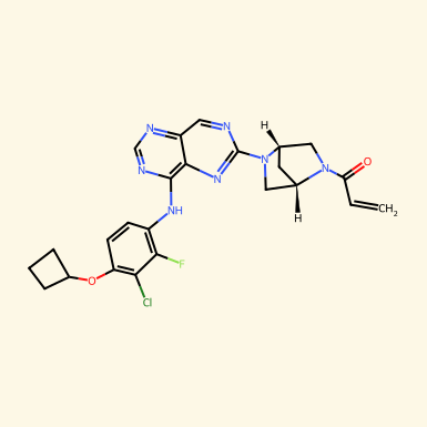 C=CC(=O)N1C[C@@H]2C[C@H]1CN2c1ncc2ncnc(Nc3ccc(OC4CCC4)c(Cl)c3F)c2n1